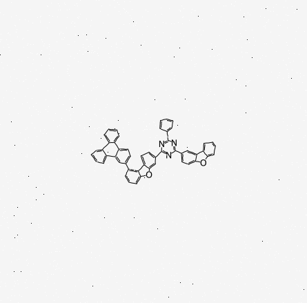 c1ccc(-c2nc(-c3ccc4c(c3)oc3cccc(-c5ccc6c7ccccc7c7ccccc7c6c5)c34)nc(-c3ccc4oc5ccccc5c4c3)n2)cc1